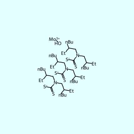 CCCCC(CC)CN(CC(CC)CCCC)C(=S)[S-].CCCCC(CC)CN(CC(CC)CCCC)C(=S)[S-].CCCCC(CC)CN(CC(CC)CCCC)C(=S)[S-].[OH][Mo+3]